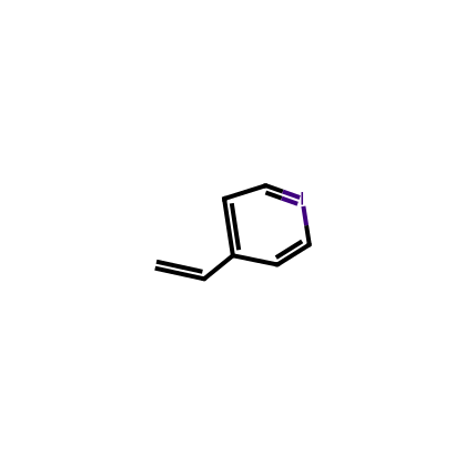 C=CC1=CC=IC=C1